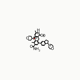 CCN(c1c(C)c(C(N)=O)cc(-c2ccc3c(c2)CCC3N2CCOCC2)c1CC1=C(C)C=C(C)NC1=C=O)C1CCOCC1